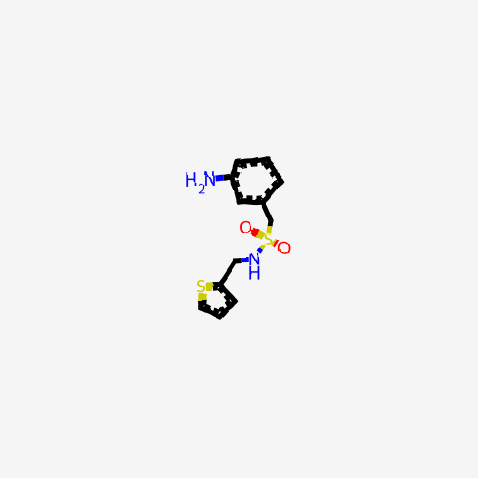 Nc1cccc(CS(=O)(=O)NCc2cccs2)c1